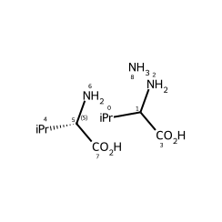 CC(C)C(N)C(=O)O.CC(C)[C@H](N)C(=O)O.N